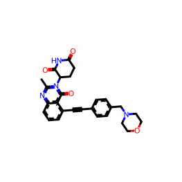 Cc1nc2cccc(C#Cc3ccc(CN4CCOCC4)cc3)c2c(=O)n1C1CCC(=O)NC1=O